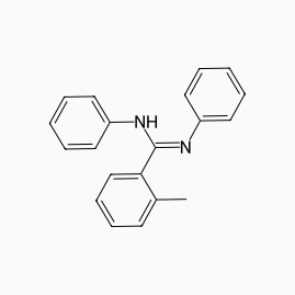 Cc1ccccc1C(=Nc1ccccc1)Nc1ccccc1